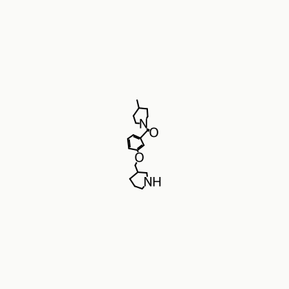 CC1CCN(C(=O)c2cccc(OCC3CCCNC3)c2)CC1